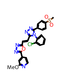 COc1cc(-c2nnc(C=Cc3nnc(-c4ccc(S(C)(=O)=O)cc4)n3-c3ccccc3Cl)o2)ccn1